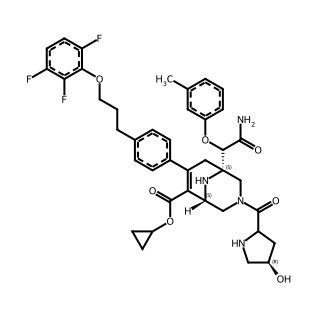 Cc1cccc(OC(C(N)=O)[C@]23CC(c4ccc(CCCOc5c(F)ccc(F)c5F)cc4)=C(C(=O)OC4CC4)[C@@H](CN(C(=O)C4C[C@@H](O)CN4)C2)N3)c1